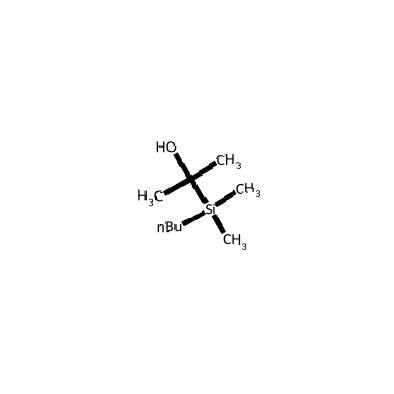 CCCC[Si](C)(C)C(C)(C)O